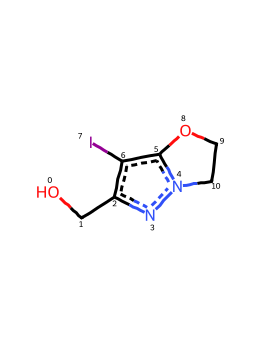 OCc1nn2c(c1I)OCC2